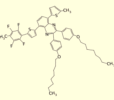 CCCCCCCCOc1ccc(-c2nc3c(-c4ccc(C)s4)ccc(-c4ccc(-c5c(F)c(F)c(C)c(F)c5F)s4)c3nc2-c2ccc(OCCCCCCCC)cc2)cc1